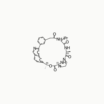 CC(C)C1NC(=O)Cc2cccc(c2)-c2cc3cc(ccc3cn2)[C@@H](C)OC(=O)[C@@H]2CCCN(N2)C(=O)[C@H](C)NC1=O